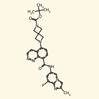 Cc1cn2cc(NC(=O)c3ccc(N4CC5(CN(C(=O)OC(C)(C)C)C5)C4)c4ccnnc34)cc(F)c2n1